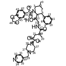 CC(C)CN(C(Cc1ccccc1)[C@H](O)CNC(=O)[C@@H](C)CS(=O)(=O)N1CCN(Cc2ccncc2)CC1)S(=O)(=O)c1ccc2c(c1)OCO2